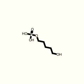 O=P(O)(O)OCCCCCO